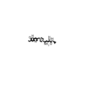 CCc1cc2ncc(CN3CCN(/C(N)=C/C=C(\N)C(=O)NC4CC4)CC3)cc2[nH]c1=O